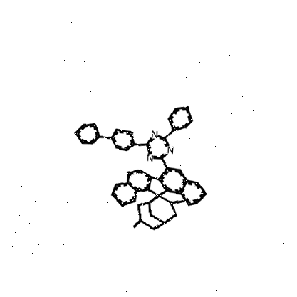 CC1CC2CC(C)C3(c4c(ccc5ccccc45)-c4c(-c5nc(-c6ccccc6)nc(-c6ccc(-c7ccccc7)cc6)n5)cc5ccccc5c43)C(C1)C2